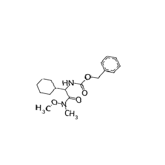 CON(C)C(=O)C(NC(=O)OCc1ccccc1)C1CCCCC1